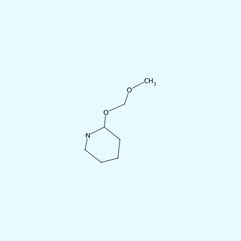 COCOC1CCCC[N]1